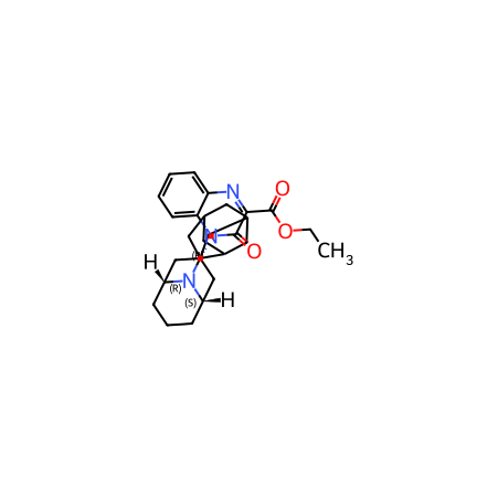 CCOC(=O)c1nc2ccccc2n([C@H]2C[C@H]3CCC[C@@H](C2)N3C23CC4CC(CC2C4)C3)c1=O